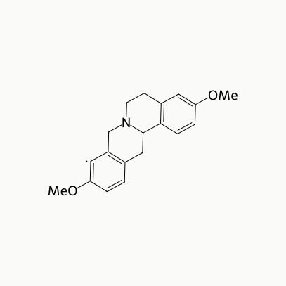 COc1[c]c2c(cc1)CC1c3ccc(OC)cc3CCN1C2